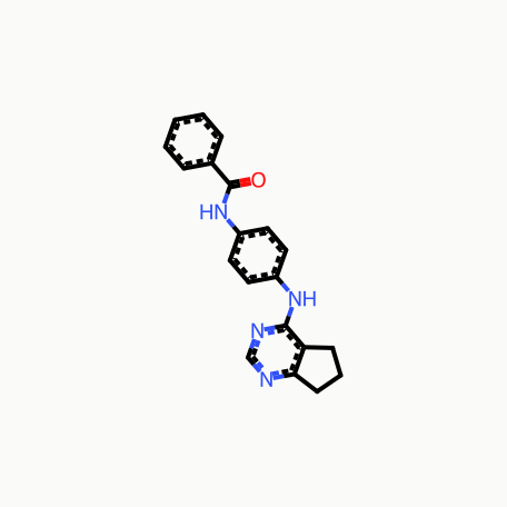 O=C(Nc1ccc(Nc2ncnc3c2CCC3)cc1)c1ccccc1